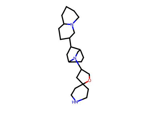 C1CCN2CC(C3CC4CCC3CN4C3COC4(CCNCC4)C3)CCC2C1